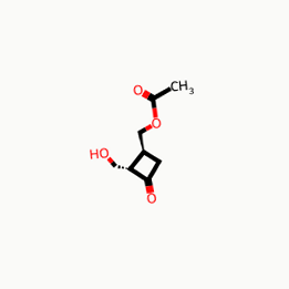 CC(=O)OC[C@H]1CC(=O)[C@@H]1CO